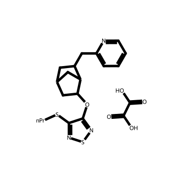 CCCSc1nsnc1OC1CC2CC(Cc3ccccn3)C1C2.O=C(O)C(=O)O